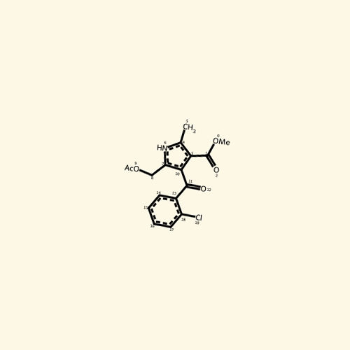 COC(=O)c1c(C)[nH]c(COC(C)=O)c1C(=O)c1ccccc1Cl